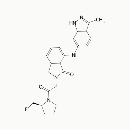 Cc1n[nH]c2cc(Nc3cccc4c3C(=O)N(CC(=O)N3CCC[C@H]3CF)C4)ccc12